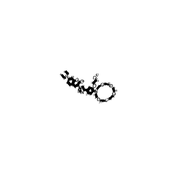 CCN(CC)c1ccc2cc(-n3cc(-c4ccc(N5CCOCCOCCOCCOCCOCC5)c(OCCOC)c4)nn3)c(=O)oc2c1